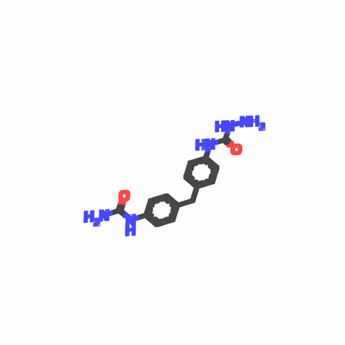 NNC(=O)Nc1ccc(Cc2ccc(NC(N)=O)cc2)cc1